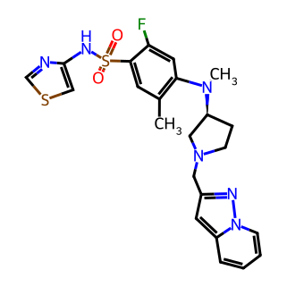 Cc1cc(S(=O)(=O)Nc2cscn2)c(F)cc1N(C)[C@H]1CCN(Cc2cc3ccccn3n2)C1